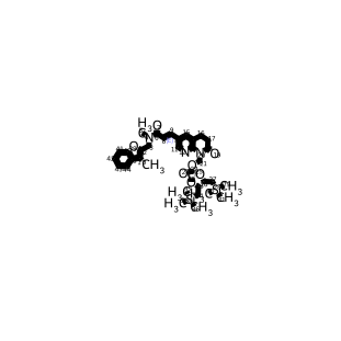 Cc1c(CN(C)C(=O)/C=C/c2cnc3c(c2)CCC(=O)N3COP(=O)(OCC[Si](C)(C)C)OCC[Si](C)(C)C)oc2ccccc12